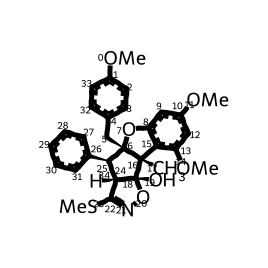 COc1ccc(C[C@@]23Oc4cc(OC)cc(OC)c4[C@]2(C)[C@]2(O)ON=C(SC)[C@@H]2[C@H]3c2ccccc2)cc1